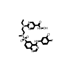 CCN(CCN(C)S(=O)(=O)c1ccc2ncnc(Nc3ccc(F)c(Cl)c3)c2c1)c1ncc(C(=O)NO)cn1